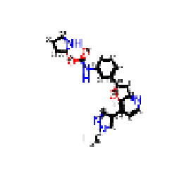 Cn1cc(-c2ccnc3cc(-c4cccc(NC(=O)O[C@H]5CCCN5)c4)oc23)cn1